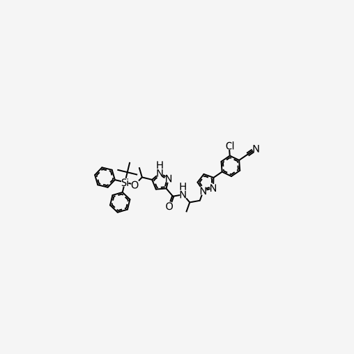 CC(Cn1ccc(-c2ccc(C#N)c(Cl)c2)n1)NC(=O)c1cc(C(C)O[Si](c2ccccc2)(c2ccccc2)C(C)(C)C)[nH]n1